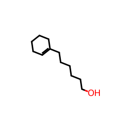 OCCCCCCC1=CCCCC1